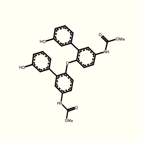 COC(=O)Nc1ccc(Oc2ccc(NC(=O)OC)cc2-c2cccc(O)c2)c(-c2cccc(O)c2)c1